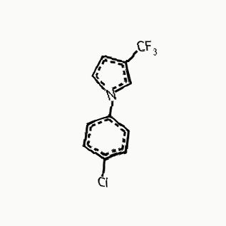 FC(F)(F)c1ccn(-c2ccc(Cl)cc2)c1